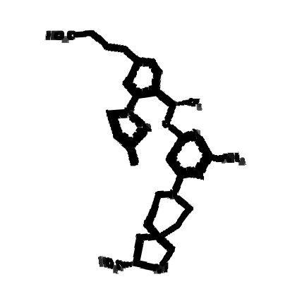 Cc1ccn(-c2cc(CCCC(=O)O)ccc2[C@@H](Oc2cc(N3CCC4(CC3)CN[C@H](C(=O)O)C4)nc(N)n2)C(F)(F)F)n1